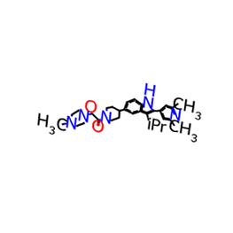 Cc1cc(-c2[nH]c3ccc(C4CCN(C(=O)C(=O)N5CCN(C)CC5)CC4)cc3c2C(C)C)cc(C)n1